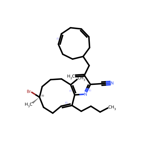 C=C(CC1CC=CC/C=C\CC1)\C(C#N)=N/C1=C(\C)CCC[C@](C)(Br)CC\C=C\1CCCC